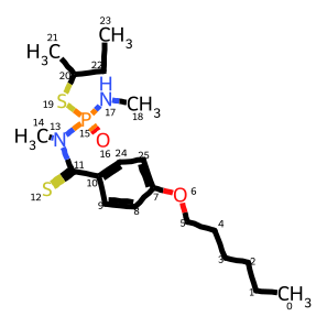 CCCCCCOc1ccc(C(=S)N(C)P(=O)(NC)SC(C)CC)cc1